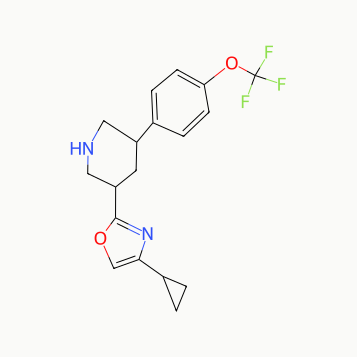 FC(F)(F)Oc1ccc(C2CNCC(c3nc(C4CC4)co3)C2)cc1